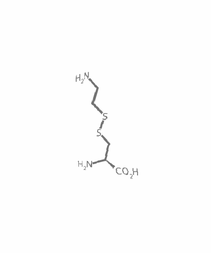 NCCSSC[C@H](N)C(=O)O